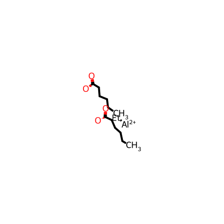 CCCCCC(=O)[O-].CCCCCC(=O)[O-].C[CH2][Al+2]